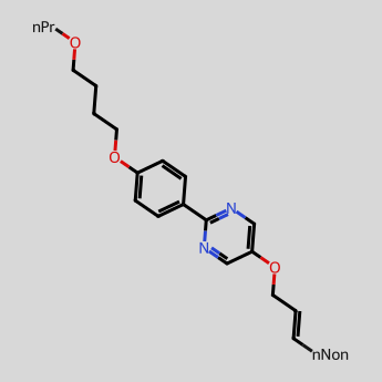 CCCCCCCCC/C=C/COc1cnc(-c2ccc(OCCCCOCCC)cc2)nc1